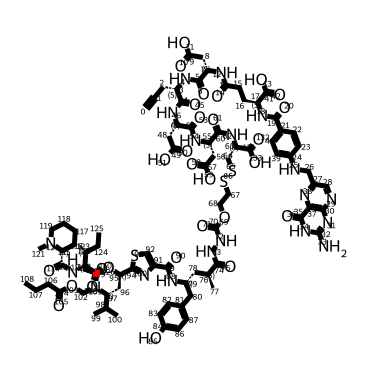 C#CC[C@H](NC(=O)[C@H](CC(=O)O)NC(=O)CC[C@H](NC(=O)c1ccc(NCc2cnc3nc(N)[nH]c(=O)c3n2)cc1)C(=O)O)C(=O)N[C@@H](CC(=O)O)C(=O)N[C@@H](CC(=O)O)C(=O)N[C@@H](CSSCCOC(=O)NNC(=O)[C@@H](C)C[C@H](Cc1ccc(O)cc1)NC(=O)c1csc([C@@H](C[C@H](C(C)C)N(COC(=O)CCC)C(=O)[C@@H](NC(=O)[C@H]2CCCCN2C)[C@H](C)CC)OC(C)=O)n1)C(=O)O